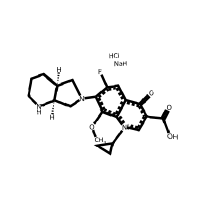 COc1c(N2C[C@@H]3CCCN[C@@H]3C2)c(F)cc2c(=O)c(C(=O)O)cn(C3CC3)c12.Cl.[NaH]